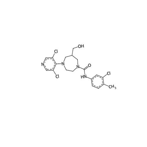 Cc1ccc(NC(=O)N2CCN(c3c(Cl)cncc3Cl)CC(CO)C2)cc1Cl